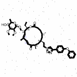 CC[C@H]1OC(=O)CC[C@H](C)C[C@@H](CCn2cc(-c3ccc(Oc4ccccc4)cc3)nn2)C[C@@H](C)C(=O)/C=C/C(C)=C/[C@@H]1CO[C@@H]1OC(C)[C@@H](O)[C@H](OC)C1OC